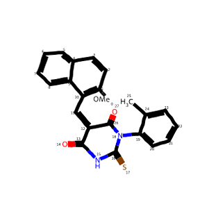 COc1ccc2ccccc2c1/C=C1/C(=O)NC(=S)N(c2ccccc2C)C1=O